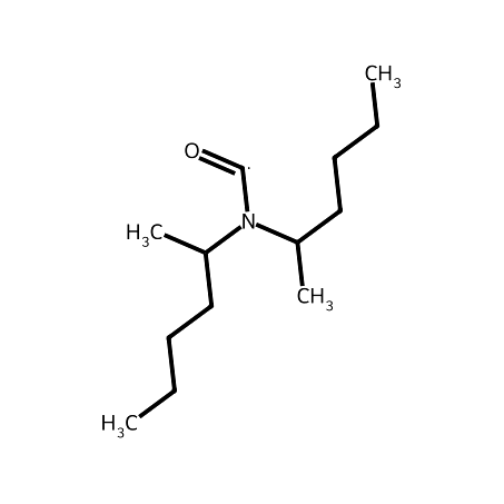 CCCCC(C)N([C]=O)C(C)CCCC